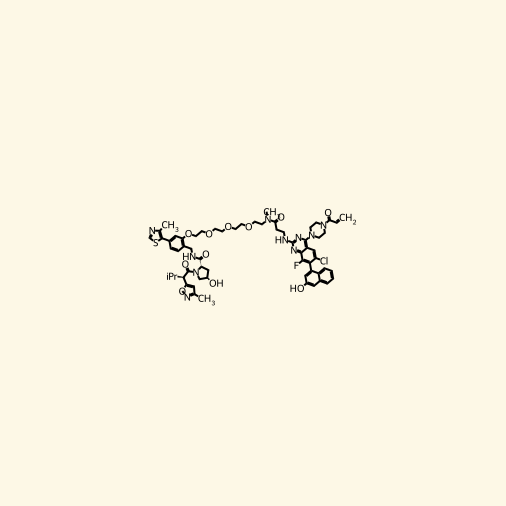 C=CC(=O)N1CCN(c2nc(NCCC(=O)N(C)CCOCCOCCOCCOc3cc(-c4scnc4C)ccc3CNC(=O)[C@@H]3C[C@@H](O)CN3C(=O)[C@@H](c3cc(C)no3)C(C)C)nc3c(F)c(-c4cc(O)cc5ccccc45)c(Cl)cc23)CC1